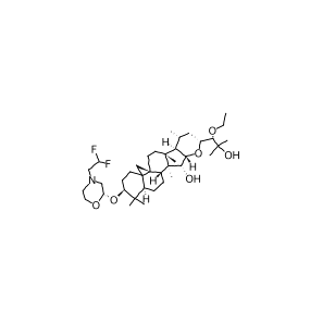 CCO[C@@H]([C@H]1C[C@@H](C)[C@H]2[C@H](O1)[C@H](O)[C@@]1(C)[C@@H]3CC[C@H]4C(C)(C)[C@@H](O[C@H]5CN(CC(F)F)CCO5)CCC45C[C@@]35CC[C@]21C)C(C)(C)O